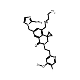 CCOc1cc(CCN2CC3(CC3)c3c(CNCCC(F)(F)F)cc(Cn4ccnc4NC)cc3C2=O)ncc1F